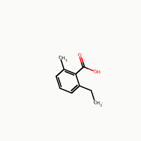 [CH2]Cc1cccc(C)c1C(=O)O